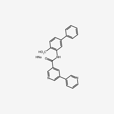 O=C(Nc1cc(-c2ccccc2)ccc1C(=O)O)c1cncc(-c2cccnc2)c1.[NaH]